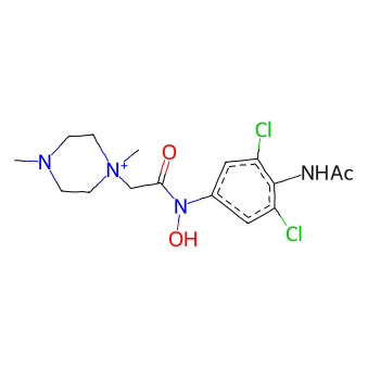 CC(=O)Nc1c(Cl)cc(N(O)C(=O)C[N+]2(C)CCN(C)CC2)cc1Cl